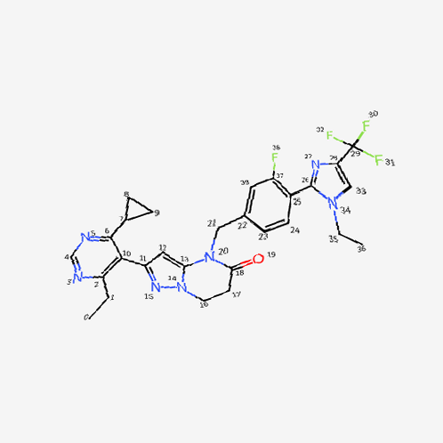 CCc1ncnc(C2CC2)c1-c1cc2n(n1)CCC(=O)N2Cc1ccc(-c2nc(C(F)(F)F)cn2CC)c(F)c1